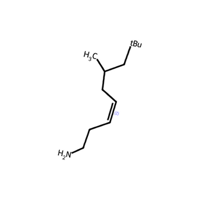 CC(C/C=C\CCN)CC(C)(C)C